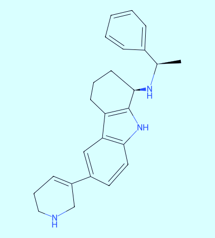 C[C@@H](N[C@@H]1CCCc2c1[nH]c1ccc(C3=CCCNC3)cc21)c1ccccc1